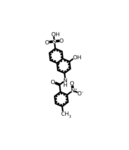 Cc1ccc(C(=O)Nc2cc(O)c3cc(S(=O)(=O)O)ccc3c2)c([N+](=O)[O-])c1